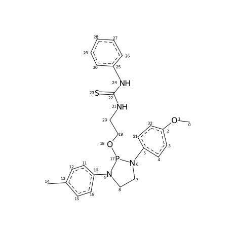 COc1ccc(N2CCN(c3ccc(C)cc3)P2OCCNC(=S)Nc2ccccc2)cc1